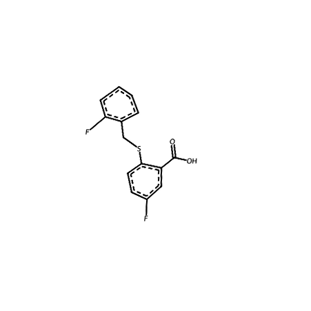 O=C(O)c1cc(F)ccc1SCc1ccccc1F